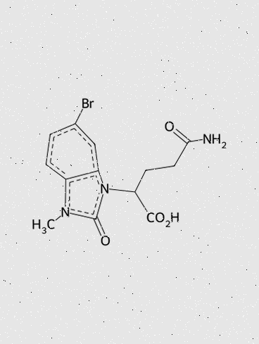 Cn1c(=O)n(C(CCC(N)=O)C(=O)O)c2cc(Br)ccc21